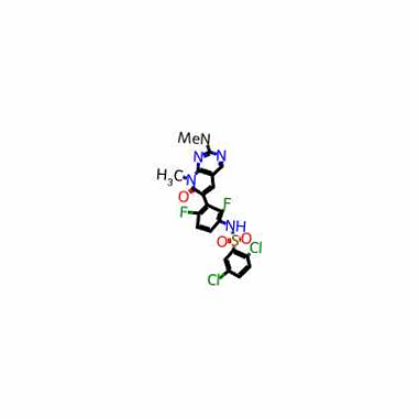 CNc1ncc2cc(-c3c(F)ccc(NS(=O)(=O)c4cc(Cl)ccc4Cl)c3F)c(=O)n(C)c2n1